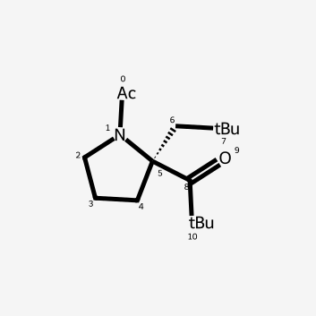 CC(=O)N1CCC[C@]1(CC(C)(C)C)C(=O)C(C)(C)C